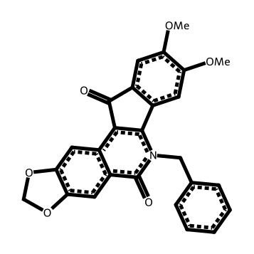 COc1cc2c(cc1OC)-c1c(c3cc4c(cc3c(=O)n1Cc1ccccc1)OCO4)C2=O